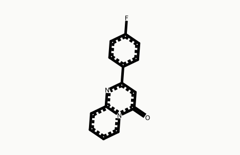 O=c1cc(-c2ccc(F)cc2)nc2ccccn12